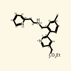 CCOC(=O)Cc1cncc(-c2ccc(C)cc2CNCCc2ccccn2)c1